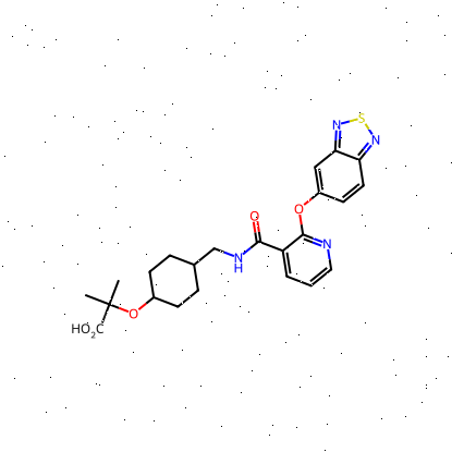 CC(C)(OC1CCC(CNC(=O)c2cccnc2Oc2ccc3nsnc3c2)CC1)C(=O)O